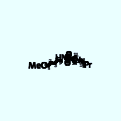 COCCCCCNS(=O)(=O)C1CN(CC(C)C)C1